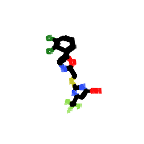 Oc1cc(C(F)(F)F)nc(SCc2ncc(-c3cccc(Cl)c3Cl)o2)n1